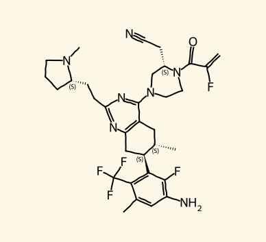 C=C(F)C(=O)N1CCN(c2nc(CC[C@@H]3CCCN3C)nc3c2C[C@H](C)[C@@H](c2c(F)c(N)cc(C)c2C(F)(F)F)C3)C[C@@H]1CC#N